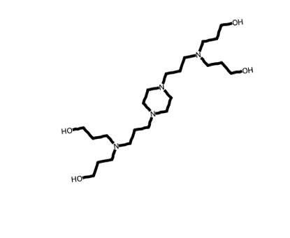 OCCCN(CCCO)CCCN1CCN(CCCN(CCCO)CCCO)CC1